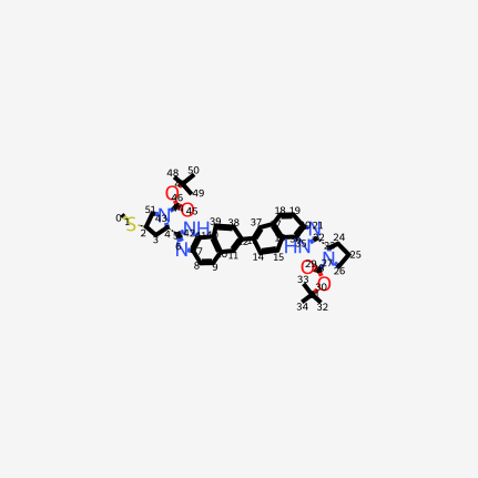 CS[C@H]1C[C@@H](c2nc3ccc4cc(-c5ccc6c(ccc7nc([C@@H]8CCCN8C(=O)OC(C)(C)C)[nH]c76)c5)ccc4c3[nH]2)N(C(=O)OC(C)(C)C)C1